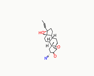 CC#C[C@]1(O)CC[C@H]2[C@@H]3CC[C@@]45O[C@]4(C)C(=O)[C@H](C#N)C[C@]5(C)[C@H]3CC[C@@]21C